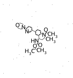 CC(=O)N1c2ccc(-c3ccc(N4CCOCC4)nc3)cc2[C@@H](NC(=O)OC(C)C)C[C@H]1C